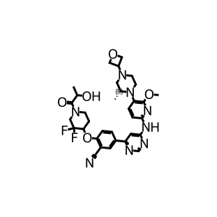 COc1nc(Nc2cc(-c3ccc(OC4CCN(C(=O)C(C)O)CC4(F)F)c(C#N)c3)ncn2)ccc1N1CCN(C2COC2)C[C@H]1C